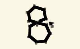 C1CCC[N+]2(CC1)CCCCC2.[Br-]